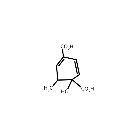 CC1C=C(C(=O)O)C=CC1(O)C(=O)O